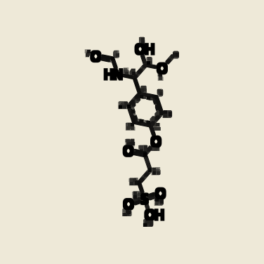 COC(O)C(NC=O)c1ccc(OC(=O)CCS(=O)(=O)O)cc1